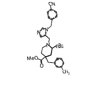 CCCCC1CC(Cc2cccc(C)c2)(C(=O)OC)CCN1Cc1cncn1Cc1ccc(C#N)cc1